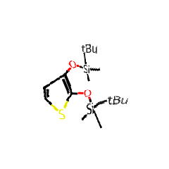 CC(C)(C)[Si](C)(C)Oc1ccsc1O[Si](C)(C)C(C)(C)C